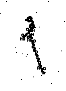 Cc1cccc(Cc2ccc(NC(=O)[C@H](CCC(=O)O)NC(=O)CNC(=O)CCOCCOCCOCCOCCNC(=O)CBr)cc2)c1